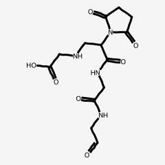 O=CCNC(=O)CNC(=O)C(CNCC(=O)O)N1C(=O)CCC1=O